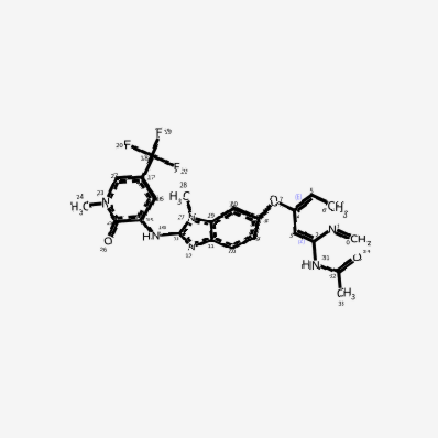 C=N/C(=C\C(=C/C)Oc1ccc2nc(Nc3cc(C(F)(F)F)cn(C)c3=O)n(C)c2c1)NC(C)=O